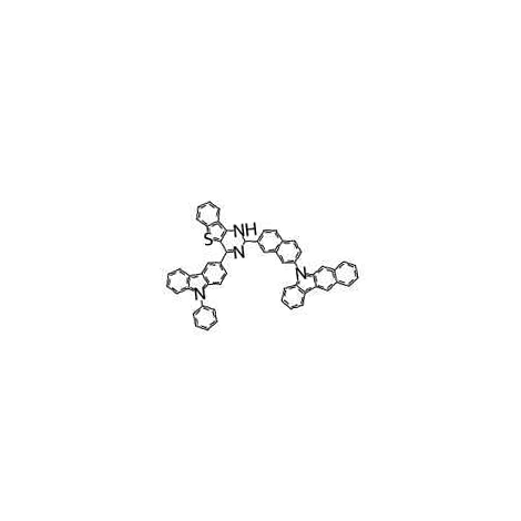 c1ccc(-n2c3ccccc3c3cc(C4=NC(c5ccc6ccc(-n7c8ccccc8c8cc9ccccc9cc87)cc6c5)Nc5c4sc4ccccc54)ccc32)cc1